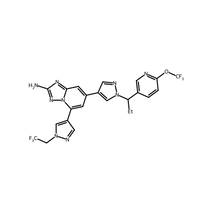 CCC(c1ccc(OC(F)(F)F)nc1)n1cc(-c2cc(-c3cnn(CC(F)(F)F)c3)n3nc(N)nc3c2)cn1